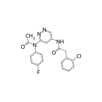 CC(=O)N(c1ccc(F)cc1)c1cc(NC(=O)Cc2ccccc2Cl)cnn1